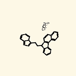 C1=CC2=CC=C(CCC3c4ccccc4-c4c3ccc3ccccc43)C2C=C1.[Cl-].[Cl-].[Zr+2]